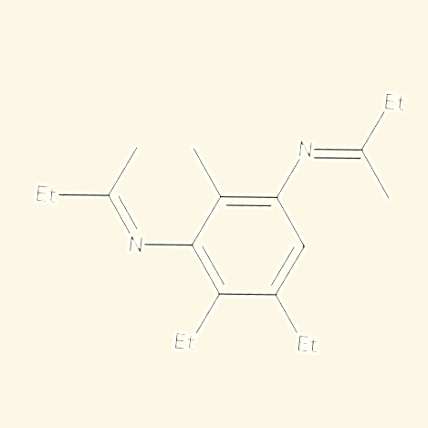 CCC(C)=Nc1cc(CC)c(CC)c(N=C(C)CC)c1C